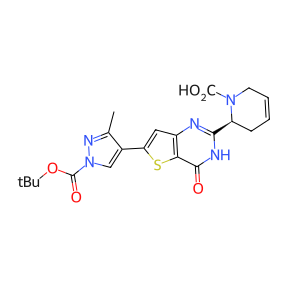 Cc1nn(C(=O)OC(C)(C)C)cc1-c1cc2nc([C@@H]3CC=CCN3C(=O)O)[nH]c(=O)c2s1